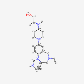 C=CN1Cc2cc(N3CCC(N(C)/C(C)=C/O)CC3)ccc2N(/C=N\NC)C(C#N)C1